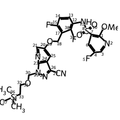 COc1ncc(F)cc1S(=O)(=O)Nc1ccc(F)c(COc2cnc3c(c2)c(C#N)nn3COCC[Si](C)(C)C)c1F